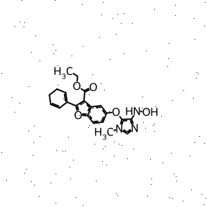 CCOC(=O)c1c(C2=CCCC=C2)oc2ccc(Oc3c(NO)ncn3C)cc12